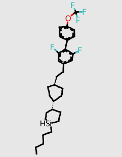 CCCCC[SiH]1CCC([C@H]2CC[C@H](CCc3cc(F)c(-c4ccc(OC(F)(F)F)cc4)c(F)c3)CC2)CC1